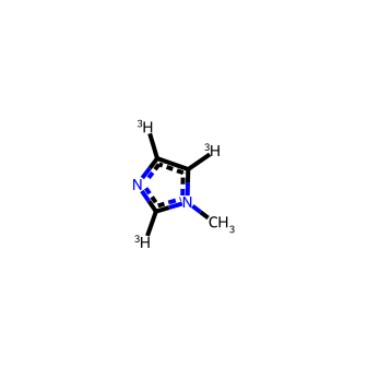 [3H]c1nc([3H])n(C)c1[3H]